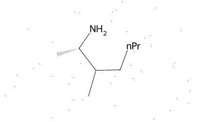 CCCCC(C)[C@H](C)N